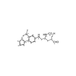 CC(C=O)CC(CNc1ccc(-c2cnco2)c(N(C)C)c1)NC(=O)O